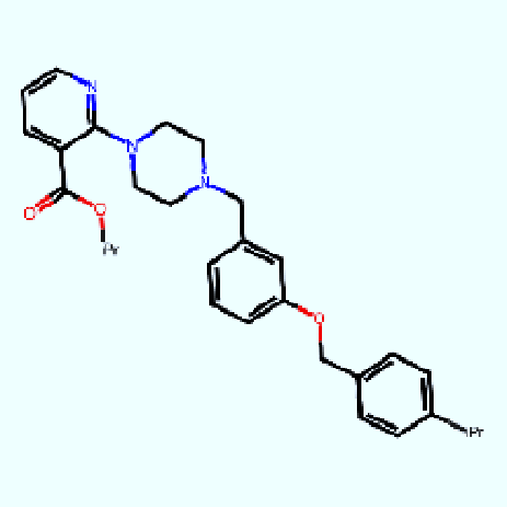 CC(C)OC(=O)c1cccnc1N1CCN(Cc2cccc(OCc3ccc(C(C)C)cc3)c2)CC1